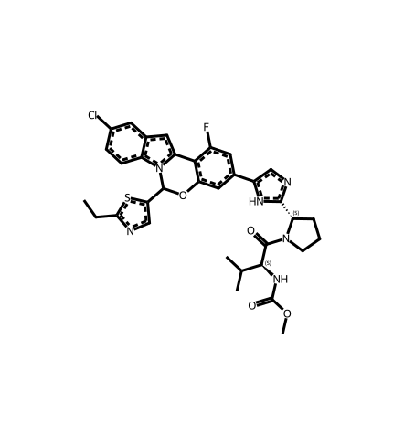 CCc1ncc(C2Oc3cc(-c4cnc([C@@H]5CCCN5C(=O)[C@@H](NC(=O)OC)C(C)C)[nH]4)cc(F)c3-c3cc4cc(Cl)ccc4n32)s1